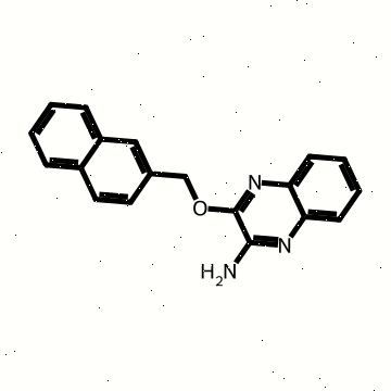 Nc1nc2ccccc2nc1OCc1ccc2ccccc2c1